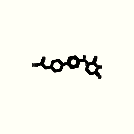 O=C(O)CC1CCC(c2ccc(N[C@@H]3CCC(=O)NC3=O)cc2)CC1